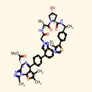 COC(=O)C[C@@H]1N=C(c2ccc(-c3cccc4nn(CC(=O)N[C@H](C(=O)N5C[C@H](O)C[C@H]5C(=O)N[C@@H](C)c5ccc(-c6scnc6C)cc5)C(C)(C)C)cc34)cc2)c2c(sc(C)c2C)-n2c(C)nnc21